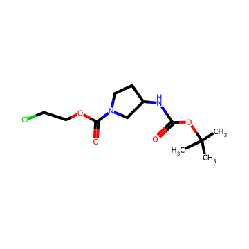 CC(C)(C)OC(=O)NC1CCN(C(=O)OCCCl)C1